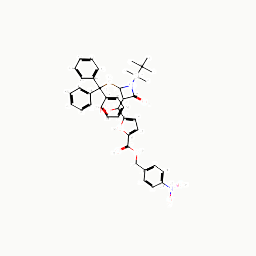 CC(C)(C)[Si](C)(C)N1C(=O)C(C(O)c2ccc(C(=O)OCc3ccc([N+](=O)[O-])cc3)o2)C1SC(c1ccccc1)(c1ccccc1)c1ccccc1